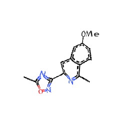 COc1ccc2c(C)nc(-c3noc(C)n3)cc2c1